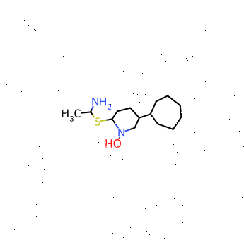 CC(N)SC1CCC(C2CCCCCC2)CN1O